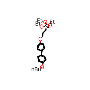 CCCCOc1ccc(-c2ccc(OCCC[Si](OCC)(OCC)OCC)cc2)cc1